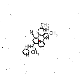 Cc1ncccc1NC(=O)c1ccc([C@H]2SC[C@H](C)Nc3c2c(-c2ccccn2)nn3C)c(C#N)c1